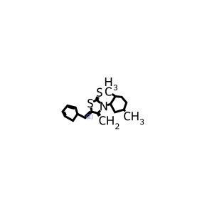 C=c1/c(=C/C2C=CC=CC2)sc(=S)n1C1CC(C)CCC1C